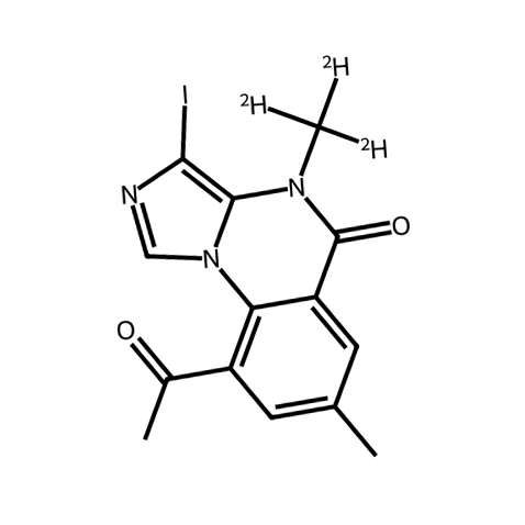 [2H]C([2H])([2H])n1c(=O)c2cc(C)cc(C(C)=O)c2n2cnc(I)c12